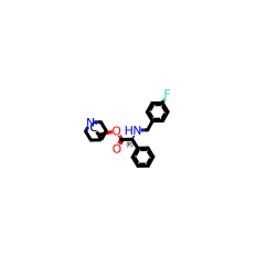 O=C(OC1CN2CCC1CC2)[C@H](NCc1ccc(F)cc1)c1ccccc1